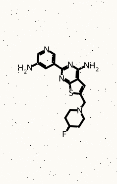 Nc1cncc(-c2nc(N)c3cc(CN4CCC(F)CC4)sc3n2)c1